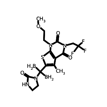 BC(B)(c1sc2c(c1C)c(=O)n(CC(F)(F)F)c(=O)n2CCOC)N1CCNC1=O